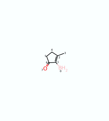 BC1=C(C)CCC1=O